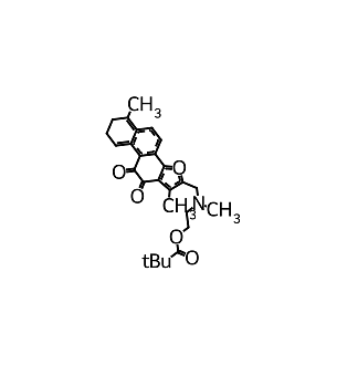 CC1=c2ccc3c(c2=CCC1)C(=O)C(=O)c1c-3oc(CN(C)CCOC(=O)C(C)(C)C)c1C